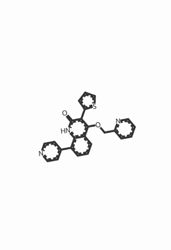 O=c1[nH]c2c(-c3ccncc3)cccc2c(OCc2ccccn2)c1-c1cccs1